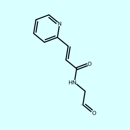 O=[C]CNC(=O)C=Cc1ccccn1